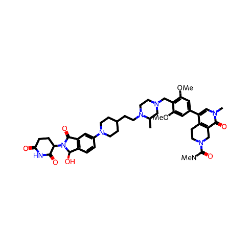 CNC(=O)N1CCc2c(-c3cc(OC)c(CN4CCN(CCC5CCN(c6ccc7c(c6)C(=O)N(C6CCC(=O)NC6=O)C7O)CC5)C(C)C4)c(OC)c3)cn(C)c(=O)c2C1